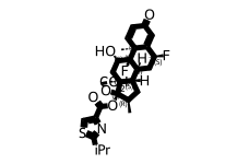 CC(C)c1nc(C(=O)O[C@]2(OC(=O)O)[C@H](C)C[C@H]3[C@@H]4C[C@H](F)C5=CC(=O)C=C[C@]5(C)[C@@]4(F)[C@@H](O)C[C@@]32C)cs1